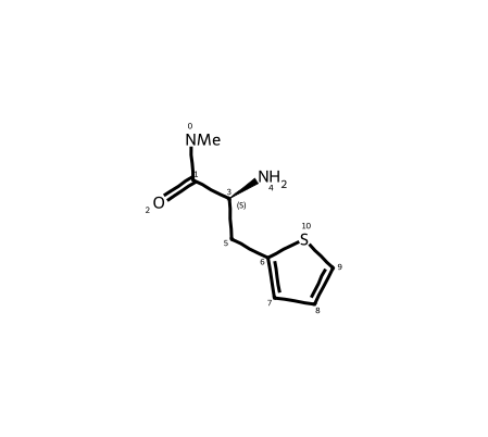 CNC(=O)[C@@H](N)Cc1cccs1